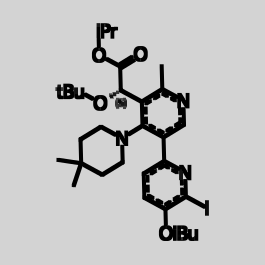 Cc1ncc(-c2ccc(OCC(C)C)c(I)n2)c(N2CCC(C)(C)CC2)c1[C@H](OC(C)(C)C)C(=O)OC(C)C